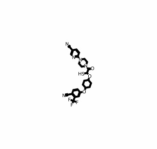 N#Cc1ccc(N2CCN(C(=O)C(S)OC3CCC(Oc4ccc(C#N)c(C(F)(F)F)c4)CC3)CC2)nc1